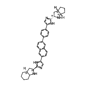 c1cc(-c2cnc([C@@H]3C[C@@H]4CCC[C@@H]4N3)[nH]2)ccc1-c1ccc2cc(-c3cnc([C@@H]4C[C@@H]5CCCCC5N4)[nH]3)ccc2c1